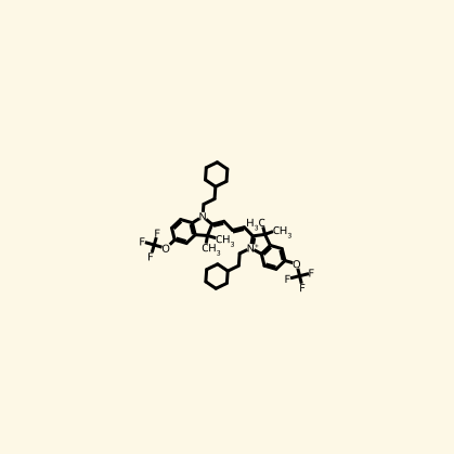 CC1(C)C(/C=C/C=C2/N(CCC3CCCCC3)c3ccc(OC(F)(F)F)cc3C2(C)C)=[N+](CCC2CCCCC2)c2ccc(OC(F)(F)F)cc21